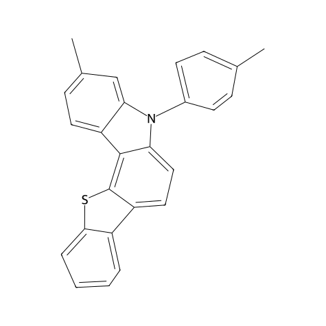 Cc1ccc(-n2c3cc(C)ccc3c3c4sc5ccccc5c4ccc32)cc1